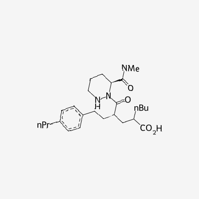 CCCCC(CC(CCc1ccc(CCC)cc1)C(=O)N1NCCC[C@H]1C(=O)NC)C(=O)O